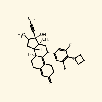 CC#C[C@]1(O)[C@H](C)C[C@H]2[C@@H]3CCC4=CC(=O)CCC4=C3[C@@H](c3cc(F)c(N4CCC4)c(F)c3)C[C@@]21C